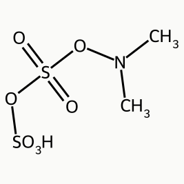 CN(C)OS(=O)(=O)OS(=O)(=O)O